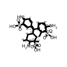 Cc1c(/C(=C2\C=CC(=N)C(S(=O)(=O)O)=C2)C2CC(C)C(N)C(C)(S(=O)(=O)O)C2)ccc(N)c1S(=O)(=O)O